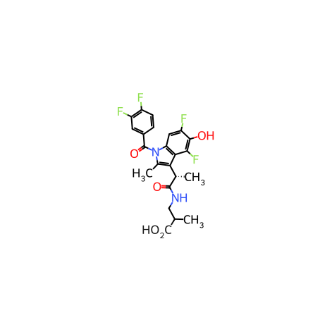 Cc1c([C@H](C)C(=O)NCC(C)C(=O)O)c2c(F)c(O)c(F)cc2n1C(=O)c1ccc(F)c(F)c1